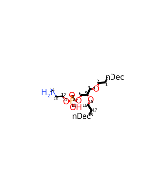 CCCCCCCCCCCCOCC(COP(=O)(O)OCCN)OCCCCCCCCCCCC